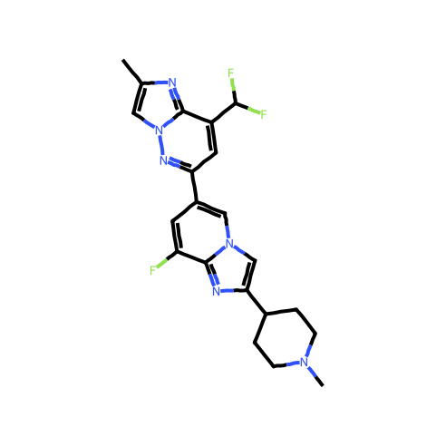 Cc1cn2nc(-c3cc(F)c4nc(C5CCN(C)CC5)cn4c3)cc(C(F)F)c2n1